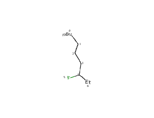 [CH2]CCCCCCC(F)CC